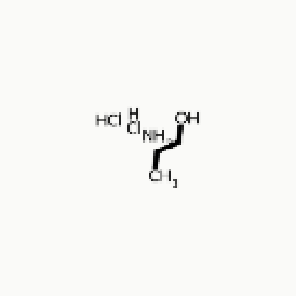 CCCO.Cl.Cl.N